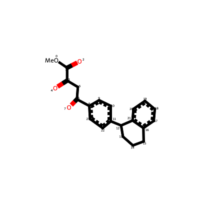 COC(=O)C(=O)CC(=O)c1ccc(C2CCCc3ccccc32)cc1